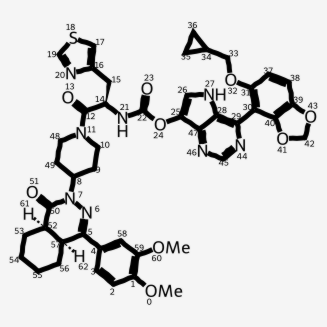 COc1ccc(C2=NN(C3CCN(C(=O)[C@@H](Cc4cscn4)NC(=O)Oc4c[nH]c5c(-c6c(OCC7CC7)ccc7c6OCO7)ncnc45)CC3)C(=O)[C@@H]3CCCC[C@H]23)cc1OC